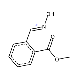 COC(=O)c1ccccc1/C=N/O